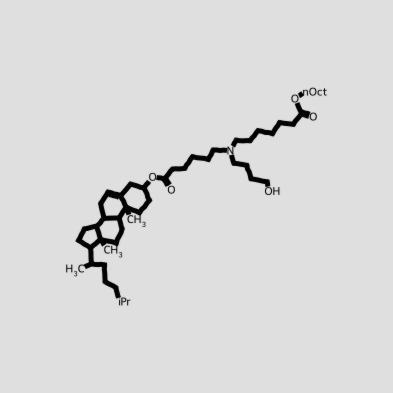 CCCCCCCCOC(=O)CCCCCCN(CCCCO)CCCCCC(=O)OC1CCC2(C)C(=CCC3C2CCC2(C)C(C(C)CCCC(C)C)CCC32)C1